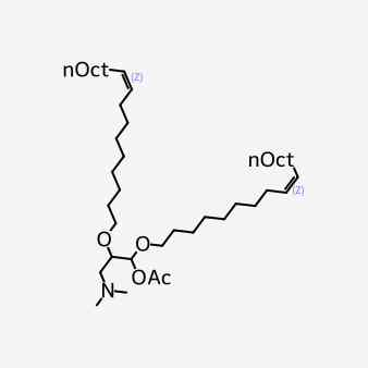 CCCCCCCC/C=C\CCCCCCCCOC(CN(C)C)C(OCCCCCCCC/C=C\CCCCCCCC)OC(C)=O